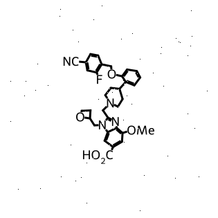 COc1cc(C(=O)O)cc2c1nc(CN1CCC(c3ccccc3OCc3ccc(C#N)cc3F)CC1)n2CC1CCO1